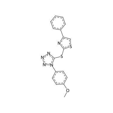 COc1ccc(-n2nnnc2Sc2nc(-c3ccccc3)cs2)cc1